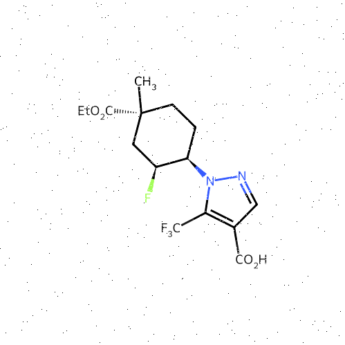 CCOC(=O)[C@]1(C)CC[C@@H](n2ncc(C(=O)O)c2C(F)(F)F)[C@@H](F)C1